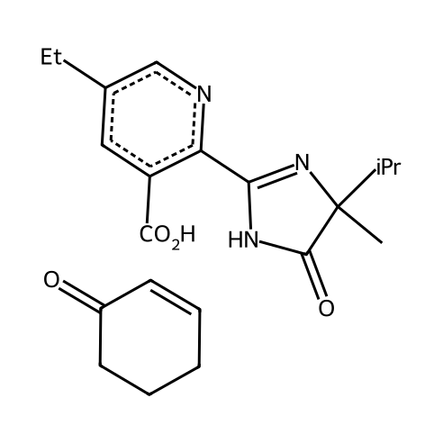 CCc1cnc(C2=NC(C)(C(C)C)C(=O)N2)c(C(=O)O)c1.O=C1C=CCCC1